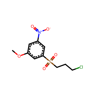 COc1cc([N+](=O)[O-])cc(S(=O)(=O)CCCCl)c1